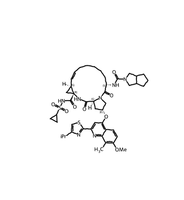 COc1ccc2c(O[C@@H]3C[C@H]4C(=O)N[C@]5(C(=O)NS(=O)(=O)C6CC6)C[C@H]5C=CCCCCC[C@H](NC(=O)N5CC6CCCC6C5)C(=O)N4C3)cc(-c3nc(C(C)C)cs3)nc2c1C